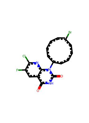 O=c1[nH]c(=O)n(-c2ccccc(Br)cccc2)c2nc(Cl)c(F)cc12